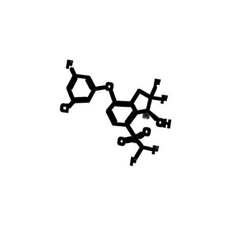 O=S(=O)(c1ccc(Oc2cc(F)cc(Cl)c2)c2c1[C@H](O)C(F)(F)C2)C(F)F